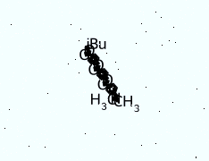 CCC(C)COC(=O)c1ccc(OC(=O)c2ccc(OC(=O)[C@H]3CC[C@H](CN(C)C)CC3)cc2)cc1